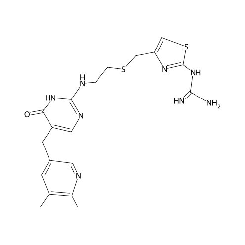 Cc1cc(Cc2cnc(NCCSCc3csc(NC(=N)N)n3)[nH]c2=O)cnc1C